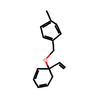 C=CC1(OCc2ccc(C)cc2)C=CC=CC1